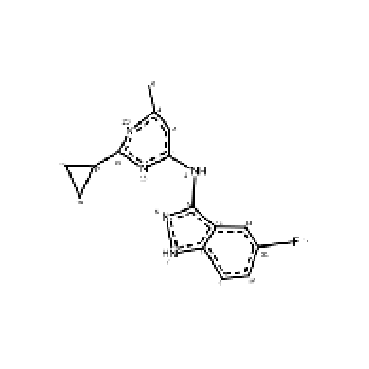 Cc1cc(Nc2n[nH]c3ccc(F)cc23)nc(C2CC2)n1